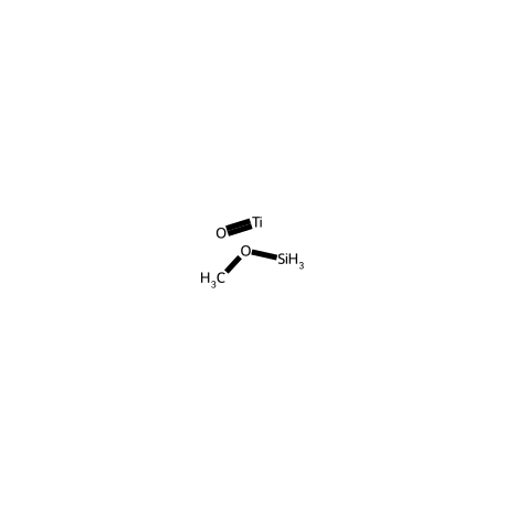 CO[SiH3].[O]=[Ti]